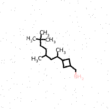 BCC1CC(C(C)CC(C)CCC(C)(C)C)C1